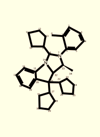 Cc1ccccc1N1C(C2CCCC2)N2c3ccccc3C(C3CCCC3)(C3CCCC3)C2[C@@H]1C